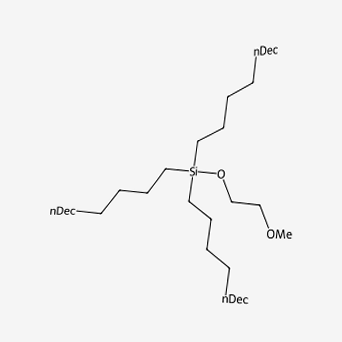 CCCCCCCCCCCCCC[Si](CCCCCCCCCCCCCC)(CCCCCCCCCCCCCC)OCCOC